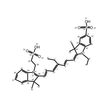 CCC(/C=C/C=C1/N(CC)c2ccc(S(=O)(=O)O)cc2C1(C)C)=C\C=C\C1=[N+](CCS(=O)(=O)O)c2ccccc2C1(C)C